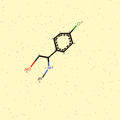 CC(C)NC(CO)c1ccc(Cl)cc1